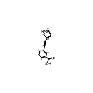 O=C(O)c1cccc(C#CC2=CC=CPC2)c1